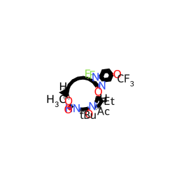 CC[C@@H]1[C@@H]2CN(C(=O)[C@H](C(C)(C)C)NC(=O)O[C@]3(C)C[C@H]3CCCCC(F)(F)c3nc4ccc(OC(F)(F)F)cc4nc3O2)[C@@H]1C(C)=O